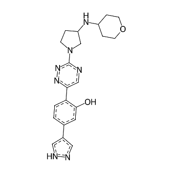 Oc1cc(-c2cn[nH]c2)ccc1-c1cnc(N2CCC(NC3CCOCC3)C2)nn1